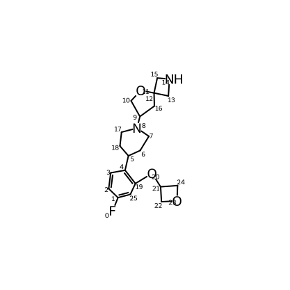 Fc1ccc(C2CCN(C3COC4(CNC4)C3)CC2)c(OC2COC2)c1